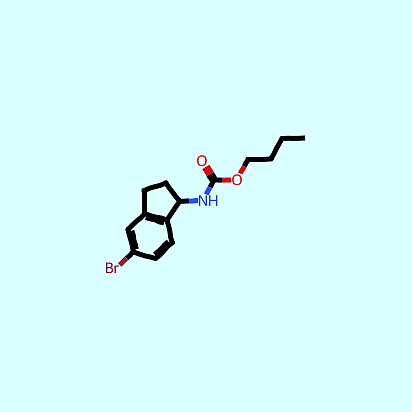 CCCCOC(=O)NC1CCc2cc(Br)ccc21